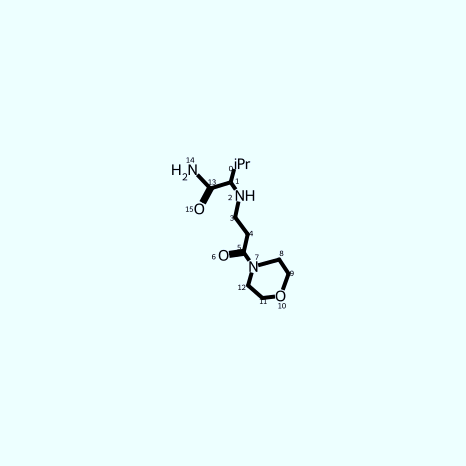 CC(C)C(NCCC(=O)N1CCOCC1)C(N)=O